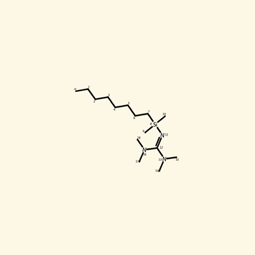 CCCCCCCC[Si](C)(C)N=C(N(C)C)N(C)C